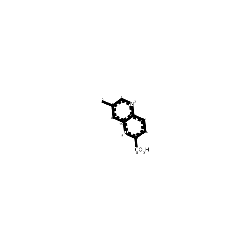 Cc1cnc2ccc(C(=O)O)nc2c1